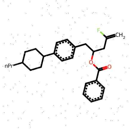 C=C(F)CC(Cc1ccc(C2CCC(CCC)CC2)cc1)OC(=O)c1ccccc1